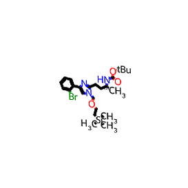 C[C@@H](CCc1nc(-c2ccccc2Br)cn1COCC[Si](C)(C)C)NC(=O)OC(C)(C)C